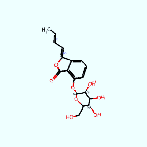 C/C=C/C=C1\OC(=O)c2c(O[C@@H]3OC(CO)[C@H](O)C(O)[C@@H]3O)cccc21